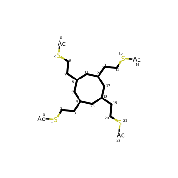 CC(=O)SCCC1CC(CCSC(C)=O)CC(CCSC(C)=O)CC(CCSC(C)=O)C1